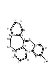 Fc1ccc(C=C2c3ccccc3CCc3ccccc32)cc1